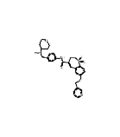 CN(Cc1ccc(NC(=O)C2=Cc3cc(OCc4cccnc4)ccc3S(=O)(=O)CC2)cc1)C1CCOCC1